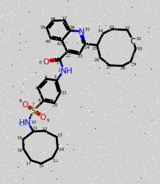 O=C(Nc1ccc(S(=O)(=O)NC2CCCCCCCC2)cc1)c1cc(C2CCCCCCCCC2)nc2ccccc12